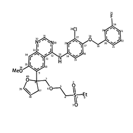 CCS(=O)(=O)CCOCC1(c2cc3c(Nc4ccc(OCc5cccc(F)c5)c(Cl)c4)ncnc3cc2OC)CC=CO1